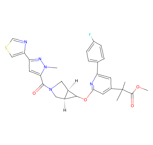 COC(=O)C(C)(C)c1cc(OC2[C@H]3CN(C(=O)c4cc(-c5cscn5)nn4C)C[C@@H]23)nc(-c2ccc(F)cc2)c1